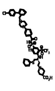 CCOP(=O)(NC(=O)c1ccc(N2CCN(Cc3ccccc3-c3ccc(Cl)cc3)CC2)cc1)c1ccc(N[C@H](CCN2CCC(C(=O)O)CC2)CSc2ccccc2)c(S(=O)(=O)C(F)(F)F)c1